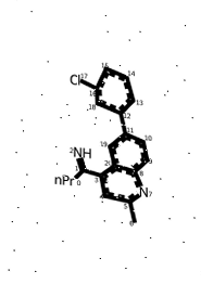 CCCC(=N)c1cc(C)nc2ccc(-c3cccc(Cl)c3)cc12